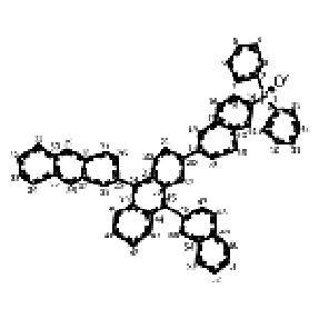 O=P(c1ccccc1)(c1ccccc1)c1ccc2cc(-c3ccc4c(-c5ccc6cc7ccccc7cc6c5)c5ccccc5c(-c5ccc6ccccc6c5)c4c3)ccc2c1